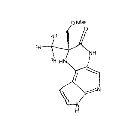 [2H]C([2H])([2H])[C@@]1(COC)Nc2c(cnc3[nH]ccc23)NC1=O